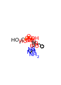 Nc1ncnc2c1ncn2[C@@H]1O[C@H](COP(=O)(O)OP(=O)(O)OP(=O)(O)CC(=O)O)[C@@H]2OC(Cc3ccccc3)OC21